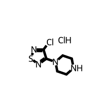 Cl.Clc1nsnc1N1CCNCC1